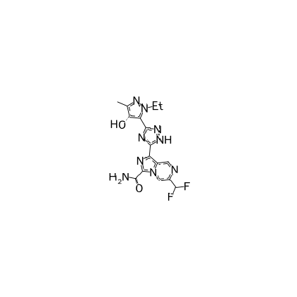 CCn1nc(C)c(O)c1-c1n[nH]c(-c2nc(C(N)=O)n3cc(C(F)F)ncc23)n1